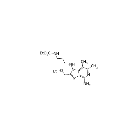 CCOCc1nc2c(N)nc(C)c(C)c2n1NCCCNC(=O)OCC